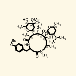 CO[C@]1(C)C[C@H](C2[C@@H](C)C(=O)NC(Cc3ccc(OC(C)(C)C)cc3)CC(=O)N(C)C[C@H](C)C[C@@](C)(O)[C@H](O[C@H]3C[C@@H](N(C)C)C[C@@H](C)O3)[C@H]2C)O[C@@H](C)[C@@H]1O